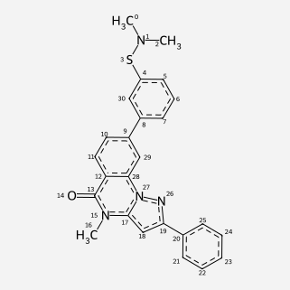 CN(C)Sc1cccc(-c2ccc3c(=O)n(C)c4cc(-c5ccccc5)nn4c3c2)c1